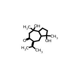 CC(C)=C1CC2C(CCC2(C)O)C(C)(O)CC1=O